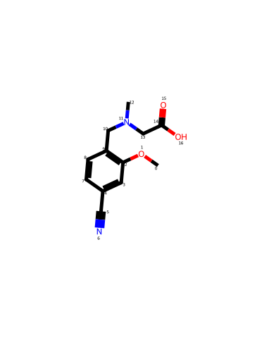 COc1cc(C#N)ccc1CN(C)CC(=O)O